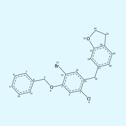 Clc1cc(OCc2ccccc2)c(Br)cc1Cc1ccc2c(c1)OCC2